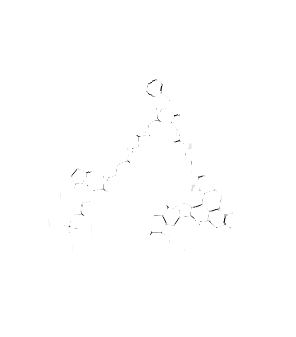 CC[C@@]1(O)C(=O)OCc2c1cc1n(c2=O)Cc2c-1nc1cc(F)c(C)c3c1c2[C@@H](NC(=O)CCCNC(=O)CNC(=O)[C@H](Cc1ccccc1)NC(=O)CNC(=O)CNC(=O)CCNC(=O)[C@H](CCC(=O)OC(C)(C)C)N1C(=O)C=CC1O)CC3